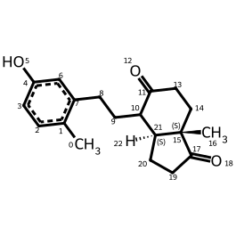 Cc1ccc(O)cc1CCC1C(=O)CC[C@]2(C)C(=O)CC[C@@H]12